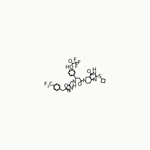 O=C(CC(NCc1nnc(Cc2ccc(C(F)(F)F)cc2)o1)c1ccccc1)N1CCc2nc(SC3CCC3)[nH]c(=O)c2C1.O=C(O)C(F)(F)F